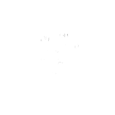 O=C(O)[SiH](C(=O)O)C1CCCCO1